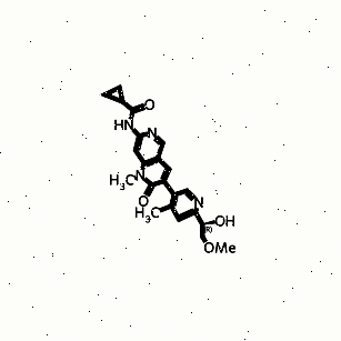 COC[C@H](O)c1cc(C)c(-c2cc3cnc(NC(=O)C4CC4)cc3n(C)c2=O)cn1